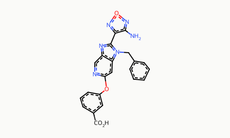 Nc1nonc1-c1nc2cnc(Oc3cccc(C(=O)O)c3)cc2n1Cc1ccccc1